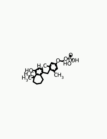 Cc1cc(OCOP(=O)(O)O)cc(C)c1Cc1ccc(O)c2c1CCCCC2(C)C